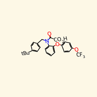 CC(C)(C)c1ccc(CN(C(=O)C(=O)O)c2ccccc2Oc2ccc(OC(F)(F)F)cc2)cc1